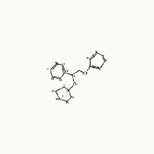 c1ccc(OCC(OC2CCNCC2)c2ccccc2)cc1